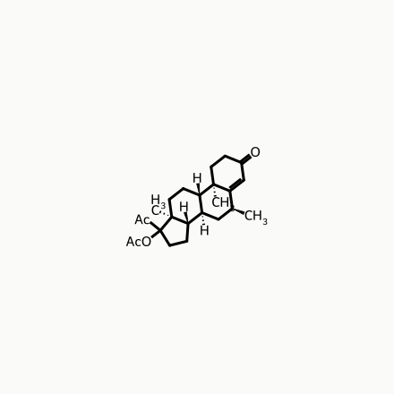 CC(=O)OC1(C(C)=O)CC[C@H]2[C@@H]3C[C@H](C)C4=CC(=O)CC[C@]4(C)[C@H]3CC[C@@]21C